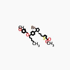 CCCCCC(OCc1ccc(OC)cc1)c1ccc(C2=C(Br)CC[C@@H]2CCCc2ccc(C(=O)OC)s2)cc1